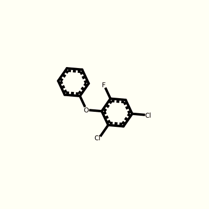 Fc1cc(Cl)cc(Cl)c1Oc1ccccc1